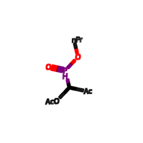 CCCO[PH](=O)C(OC(C)=O)C(C)=O